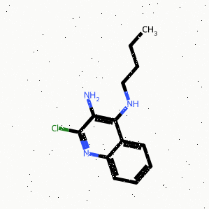 CCCCNc1c(N)c(Cl)nc2ccccc12